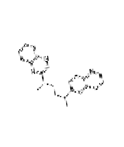 CC(CCC(C)c1cnc2ccccc2n1)c1ccc2ncccc2c1